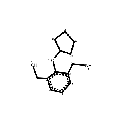 NCc1cccc(CO)c1OC1CCCC1